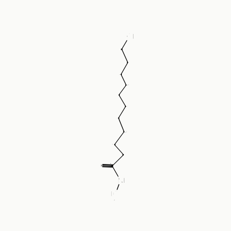 O=C(CCCCCCCCCCO)NO